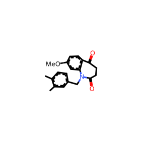 COc1ccc2c(c1)N(Cc1ccc(C)c(C)c1)C(=O)CCC2=O